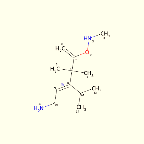 C=C(ONC)C(C)(C)/C(=C/CN)C(C)C